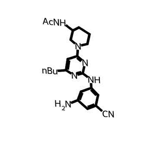 CCCCc1cc(N2CCCC(NC(C)=O)C2)nc(Nc2cc(N)cc(C#N)c2)n1